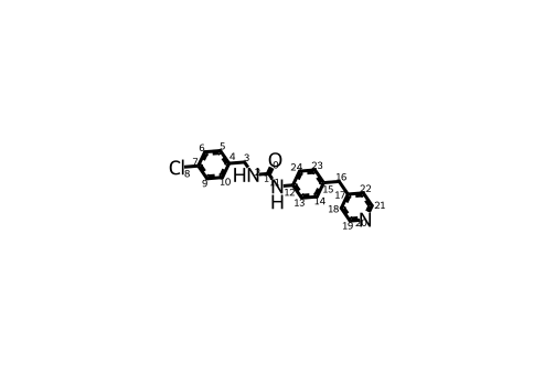 O=C(NCc1ccc(Cl)cc1)Nc1ccc(Cc2ccncc2)cc1